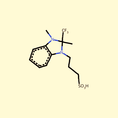 CN1c2ccccc2N(CCCS(=O)(=O)O)C1(C)C(F)(F)F